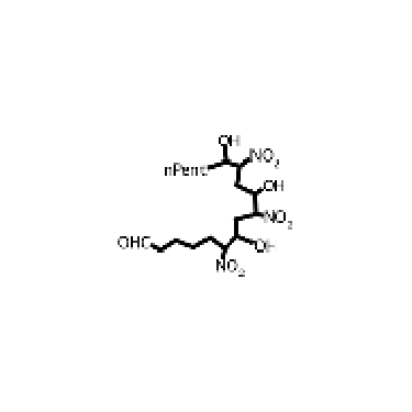 CCCCCC(O)C(CC(O)C(CC(O)C(CCCCC=O)[N+](=O)[O-])[N+](=O)[O-])[N+](=O)[O-]